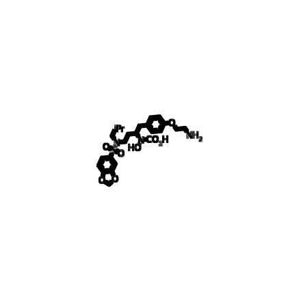 CC(C)CN(CCC(Cc1ccc(OCCN)cc1)N(O)C(=O)O)S(=O)(=O)c1ccc2c(c1)OCO2